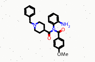 COc1ccc(C(=O)N(C(=O)C2CCN(Cc3ccccc3)CC2)c2ccccc2N)cc1